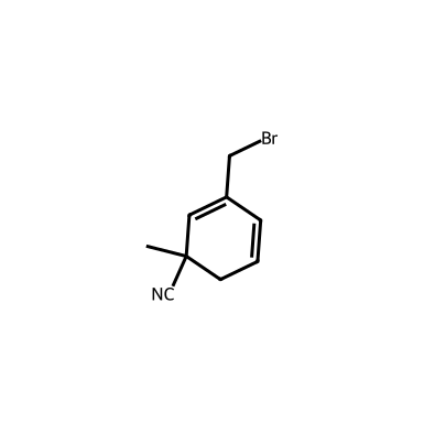 CC1(C#N)C=C(CBr)C=CC1